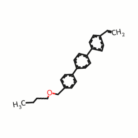 C=Cc1ccc(-c2ccc(-c3ccc(COCCCC)cc3)cc2)cc1